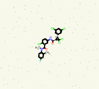 Cc1cc(F)ccc1N(C)C(=O)c1cc(NC(=O)[C@H]2[C@H](c3cc(Cl)cc(Cl)c3)C2(Cl)Cl)ccc1Cl